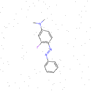 CN(C)c1ccc(N=Nc2ccccc2)c(I)c1